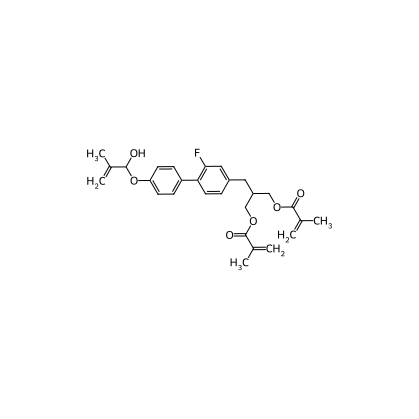 C=C(C)C(=O)OCC(COC(=O)C(=C)C)Cc1ccc(-c2ccc(OC(O)C(=C)C)cc2)c(F)c1